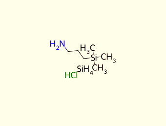 C[Si](C)(C)CCCN.Cl.[SiH4]